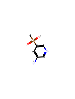 CS(=O)(=O)c1cncc(N)c1